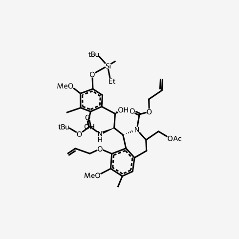 C=CCOC(=O)N1C(COC(C)=O)Cc2cc(C)c(OC)c(OCC=C)c2[C@@H]1[C@@H](NC(=O)OC(C)(C)C)[C@H](O)c1cc(O[Si](C)(CC)C(C)(C)C)c(OC)c(C)c1O